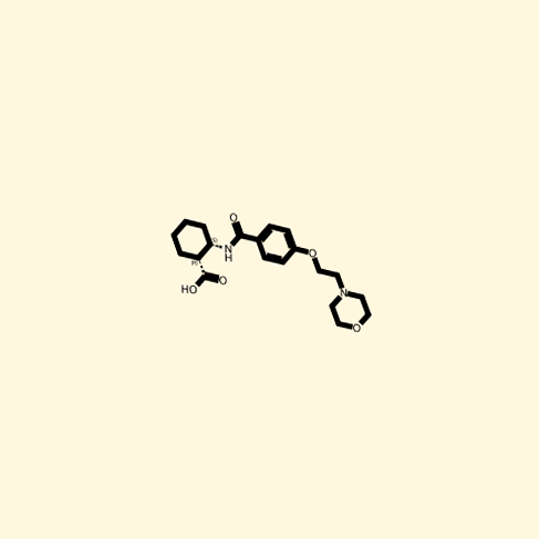 O=C(N[C@H]1CCCC[C@H]1C(=O)O)c1ccc(OCCN2CCOCC2)cc1